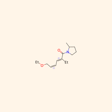 CCOC/C=C\C=C(/CC)C(=O)N1CCCC1C